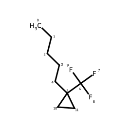 CCCCCC1(C(F)(F)F)CC1